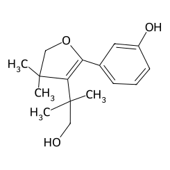 CC(C)(CO)C1=C(c2cccc(O)c2)OCC1(C)C